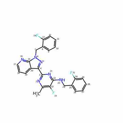 Cc1nc(-c2nn(Cc3ccccc3F)c3ncccc23)nc(NCc2ccccc2F)c1F